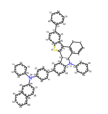 C1=CC2=C(CC1)c1c(sc3ccc(-c4ccccc4)cc13)C1c3cc(-c4ccc(N(c5ccccc5)c5ccc6ccccc6c5)cc4)ccc3N(c3ccccc3)C21